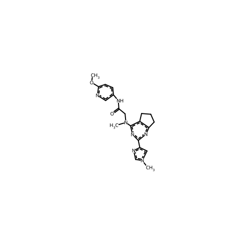 COc1ccc(NC(=O)CN(C)c2nc(-c3cn(C)cn3)nc3c2CCC3)cn1